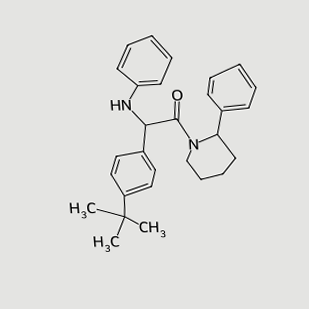 CC(C)(C)c1ccc(C(Nc2ccccc2)C(=O)N2CCCCC2c2ccccc2)cc1